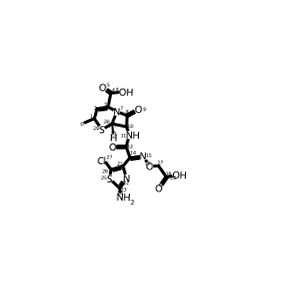 CC1C=C(C(=O)O)N2C(=O)C(NC(=O)C(=NOCC(=O)O)c3nc(N)sc3Cl)[C@@H]2S1